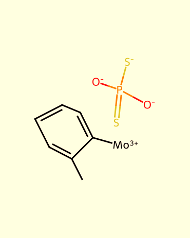 Cc1cccc[c]1[Mo+3].[O-]P([O-])(=S)[S-]